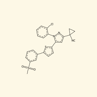 [C-]#[N+]C1(c2cc(-c3ccc(-c4cccc(S(C)(=O)=O)c4)s3)n(-c3ccccc3Cl)n2)CC1